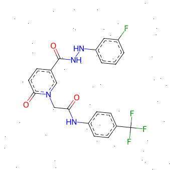 O=C(Cn1cc(C(=O)NNc2cccc(F)c2)ccc1=O)Nc1ccc(C(F)(F)F)cc1